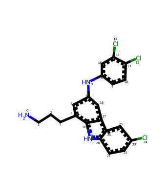 NCCCc1cc(Nc2ccc(Cl)c(Cl)c2)cc2c1[nH]c1ccc(Cl)cc12